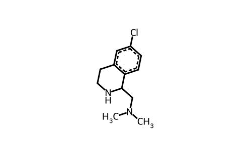 CN(C)CC1NCCc2cc(Cl)ccc21